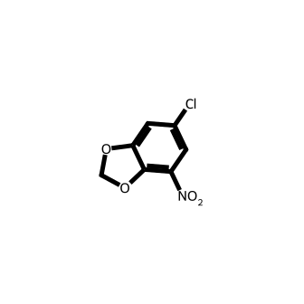 O=[N+]([O-])c1cc(Cl)cc2c1OCO2